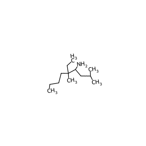 CCCCC(C)(CC)C(N)CC(C)C